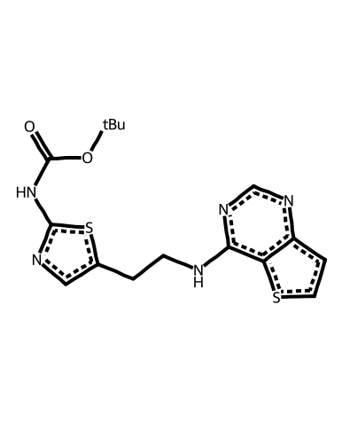 CC(C)(C)OC(=O)Nc1ncc(CCNc2ncnc3ccsc23)s1